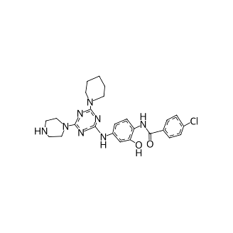 O=C(Nc1ccc(Nc2nc(N3CCCCC3)nc(N3CCNCC3)n2)cc1O)c1ccc(Cl)cc1